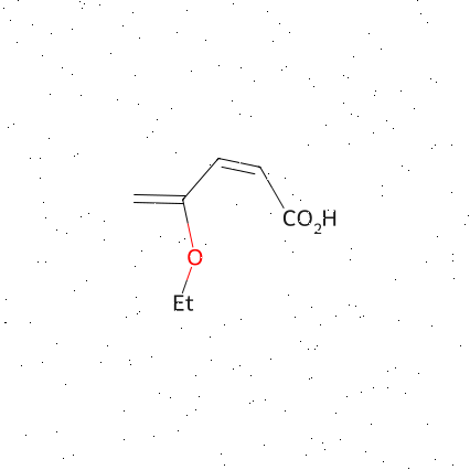 C=C(/C=C\C(=O)O)OCC